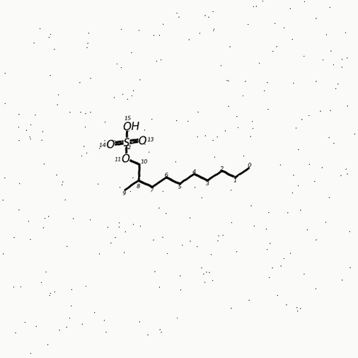 CCCCCCCCC(C)COS(=O)(=O)O